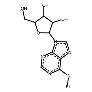 CCSc1ncnc2c1ncn2C1OC(CO)C(O)C1O